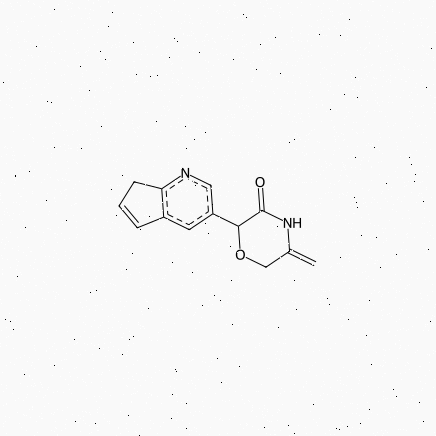 C=C1COC(c2cnc3c(c2)C=CC3)C(=O)N1